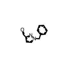 O=Cc1ccn(Cc2ccccc2)n1